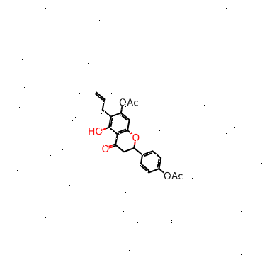 C=CCc1c(OC(C)=O)cc2c(c1O)C(=O)CC(c1ccc(OC(C)=O)cc1)O2